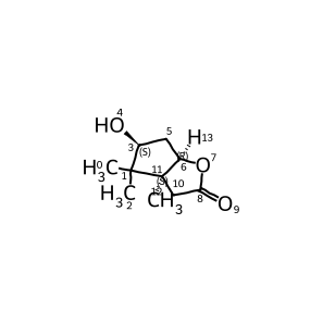 CC1(C)[C@@H](O)C[C@H]2OC(=O)C[C@]21C